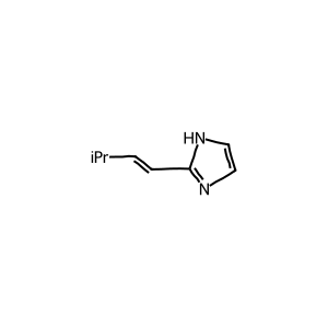 [CH2]C(C)C=Cc1ncc[nH]1